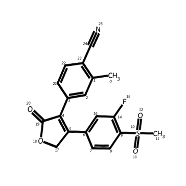 Cc1cc(C2=C(c3ccc(S(C)(=O)=O)c(F)c3)COC2=O)ccc1C#N